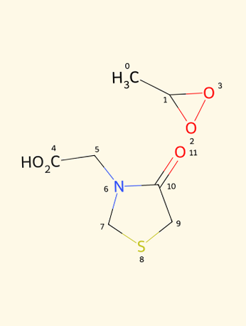 CC1OO1.O=C(O)CN1CSCC1=O